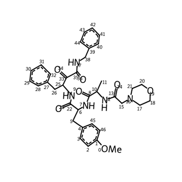 COc1ccc(CC(NC(=O)C(C)NC(=O)CN2CCOCC2)C(=O)NC(Cc2ccccc2)C(=O)C(=O)NCc2ccccc2)cc1